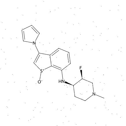 CN1CC[C@@H](Nc2cccc3c(-n4cccc4)c[s+]([O-])c23)[C@@H](F)C1